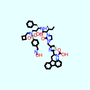 CC[C@H](C)[C@@H](C(=O)N[C@@H](Cc1ccccc1)[C@H](O)CN(CC1CCC1)S(=O)(=O)c1ccc(/C=N/O)cc1)N1CCN(Cc2csc(C(CC3c4ccccc4-c4ccccc43)NC(=O)O)n2)C1=O